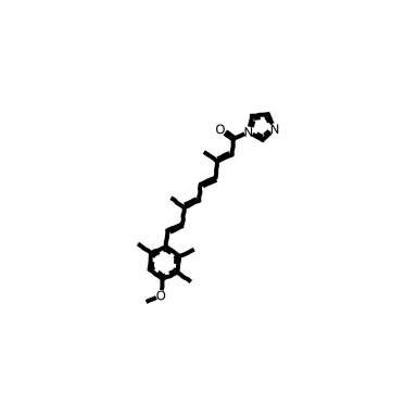 COc1cc(C)c(/C=C/C(C)=C/C=C/C(C)=C/C(=O)n2ccnc2)c(C)c1C